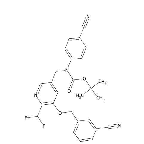 CC(C)(C)OC(=O)N(Cc1cnc(C(F)F)c(OCc2cccc(C#N)c2)c1)c1ccc(C#N)cc1